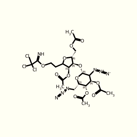 CC(=O)OC[C@H]1OC(CCOC(=N)C(Cl)(Cl)Cl)[C@H](OC(C)=O)[C@@H]1O[C@H]1O[C@@H](CN=[N+]=[N-])[C@@H](OC(C)=O)[C@H](OC(C)=O)C1N=[N+]=[N-]